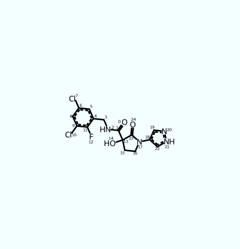 O=C(NCc1cc(Cl)cc(Cl)c1F)C1(O)CCN(c2cn[nH]c2)C1=O